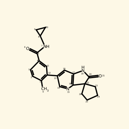 Cc1ccc(C(=O)NC2CC2)cc1-c1cnc2c(c1)NC(=O)C21CCCC1